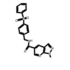 Cn1ncc2cc(C(=O)NCc3ccc(S(=O)(=O)c4ccccc4)cc3)cnc21